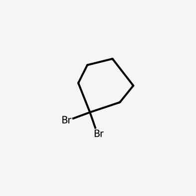 BrC1(Br)CCCCC1